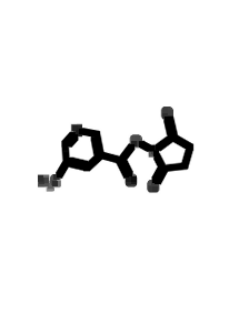 Cc1cncc(C(=O)ON2C(=O)CCC2=O)c1